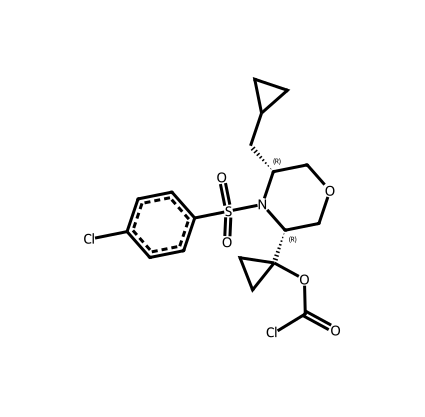 O=C(Cl)OC1([C@H]2COC[C@@H](CC3CC3)N2S(=O)(=O)c2ccc(Cl)cc2)CC1